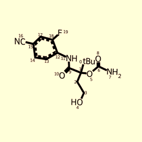 CC(C)(C)C(CCO)(OC(N)=O)C(=O)Nc1ccc(C#N)cc1F